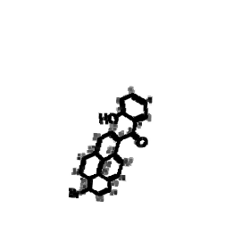 O=C(c1ccccc1O)c1ccc2ccc3c(Br)ccc4ccc1c2c43